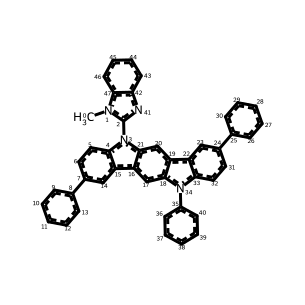 Cn1c(-n2c3ccc(-c4ccccc4)cc3c3cc4c(cc32)c2cc(-c3ccccc3)ccc2n4-c2ccccc2)nc2ccccc21